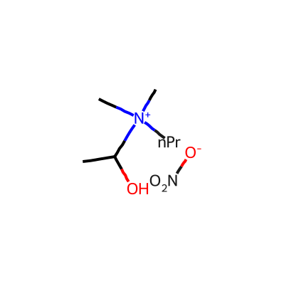 CCC[N+](C)(C)C(C)O.O=[N+]([O-])[O-]